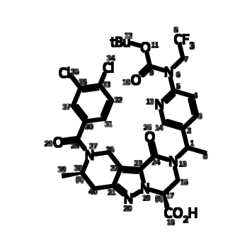 CC(c1ccc(N(CC(F)(F)F)C(=O)OC(C)(C)C)nc1)N1C[C@@H](C(=O)O)n2nc3c(c2C1=O)CN(C(=O)c1ccc(Cl)c(Cl)c1)[C@H](C)C3